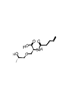 C=CCCC(=O)N[C@@H](COC[C@H](C)O)C(=O)O